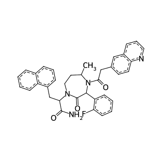 CC1CCN(C(Cc2cccc3ccccc23)C(N)=O)C(=O)C(c2ccccc2F)N1C(=O)Cc1ccc2ncccc2c1